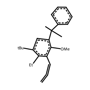 C=C=Cc1c(CC)c(C(C)(C)C)cc(C(C)(C)c2ccccc2)c1OC